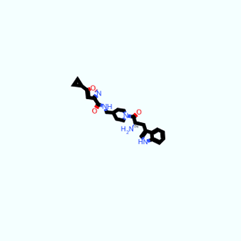 N[C@@H](Cc1c[nH]c2ccccc12)C(=O)N1CCC(CNC(=O)c2cc(C3CC3)on2)CC1